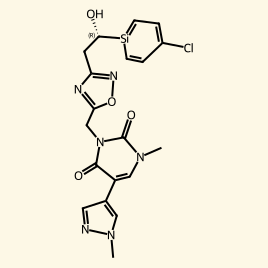 Cn1cc(-c2cn(C)c(=O)n(Cc3nc(C[C@H](O)[si]4ccc(Cl)cc4)no3)c2=O)cn1